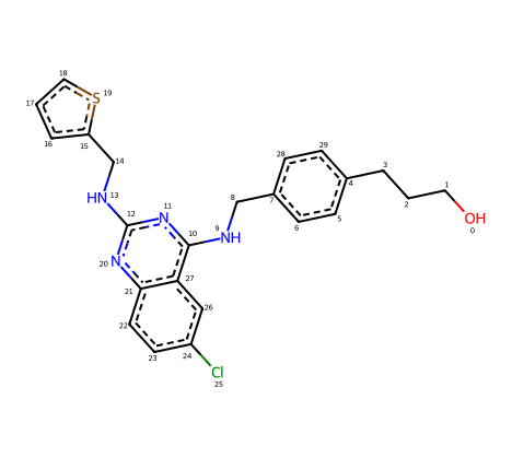 OCCCc1ccc(CNc2nc(NCc3cccs3)nc3ccc(Cl)cc23)cc1